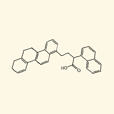 O=C(O)C(CCc1cccc2c3c(ccc12)C1=C(CCC=C1)CC3)c1cccc2ccccc12